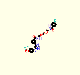 O=C(NCCOCCOCCNC(=O)c1cccc(-c2cc(Nc3ccc(OC(F)(F)F)cc3)ncn2)c1)c1ccc(F)cc1